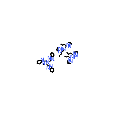 C=CCC(CNCC(CC=C)n1cccn1)n1cccn1.C=CCC(NC(CC=C)n1cccn1)n1cccn1.Cn1c(CN(Cc2nc3ccccc3n2C)Cc2nc3ccccc3n2C)nc2ccccc21